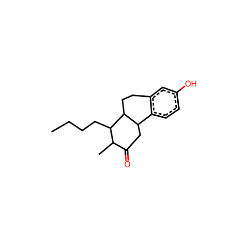 CCCCC1C(C)C(=O)CC2c3ccc(O)cc3CCC21